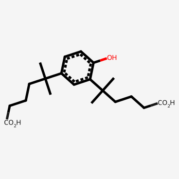 CC(C)(CCCC(=O)O)c1ccc(O)c(C(C)(C)CCCC(=O)O)c1